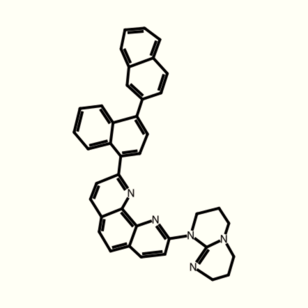 c1ccc2cc(-c3ccc(-c4ccc5ccc6ccc(N7CCCN8CCCN=C87)nc6c5n4)c4ccccc34)ccc2c1